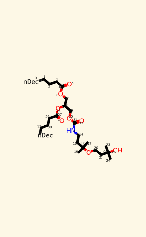 CCCCCCCCCCCCCC(=O)OCC(COC(=O)NCCC(C)(C)OCCC(C)(C)O)OC(=O)CCCCCCCCCCCCC